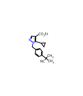 CCOC(=O)c1cnn(Cc2ccc(C(C)(C)C#N)cc2)c1C1CC1